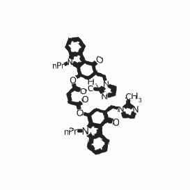 CCCn1c2c(c3ccccc31)C(=O)C(Cn1ccnc1C)CC2OC(=O)/C=C\C(=O)OC1CC(Cn2ccnc2C)C(=O)c2c1n(CCC)c1ccccc21